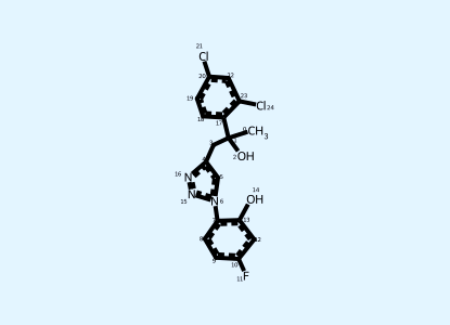 CC(O)(Cc1cn(-c2ccc(F)cc2O)nn1)c1ccc(Cl)cc1Cl